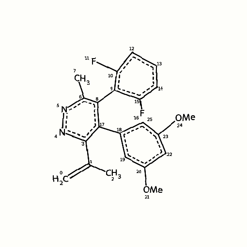 C=C(C)c1nnc(C)c(-c2c(F)cccc2F)c1-c1cc(OC)cc(OC)c1